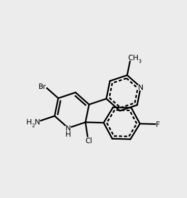 Cc1cc(C2=CC(Br)=C(N)NC2(Cl)c2ccc(F)cc2)ccn1